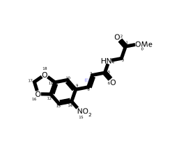 COC(=O)CNC(=O)/C=C/c1cc2c(cc1[N+](=O)[O-])OCO2